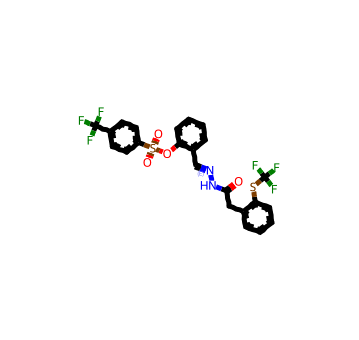 O=C(Cc1ccccc1SC(F)(F)F)N/N=C/c1ccccc1OS(=O)(=O)c1ccc(C(F)(F)F)cc1